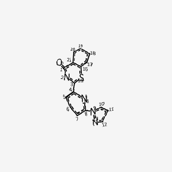 O=c1nc(-c2cccc(-n3cccn3)n2)sc2ccccc12